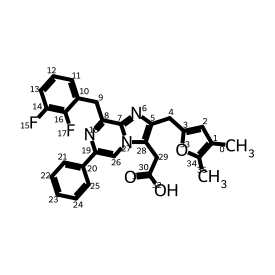 Cc1cc(Cc2nc3c(Cc4cccc(F)c4F)nc(-c4ccccc4)cn3c2CC(=O)O)oc1C